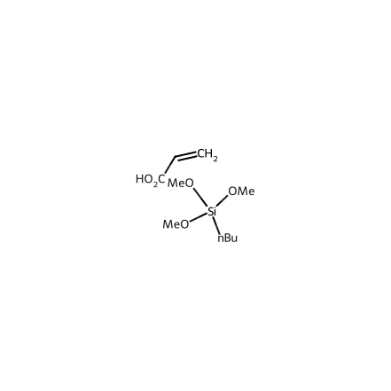 C=CC(=O)O.CCCC[Si](OC)(OC)OC